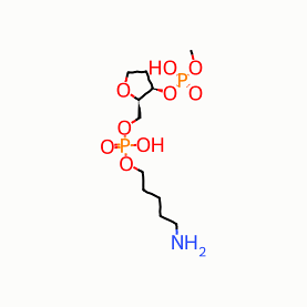 COP(=O)(O)O[C@@H]1CCO[C@@H]1COP(=O)(O)OCCCCCN